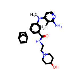 C1=CC2=CC=C1C2.Cc1c(N(C)c2cccc(C(=O)NCCN3CCC(O)CC3)c2)ccnc1N